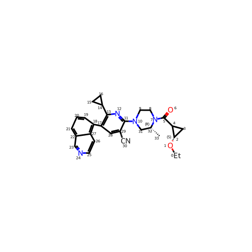 CCO[C@H]1CC1C(=O)N1CCN(c2nc(C3CC3)c(-c3cccc4cnccc34)cc2C#N)C[C@H]1C